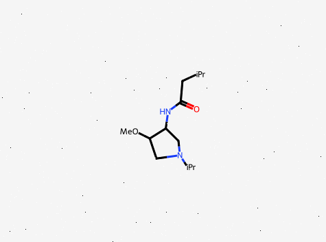 COC1CN(C(C)C)CC1NC(=O)CC(C)C